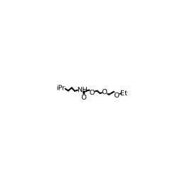 CCOCCOCCOCC(=O)NCCCC(C)C